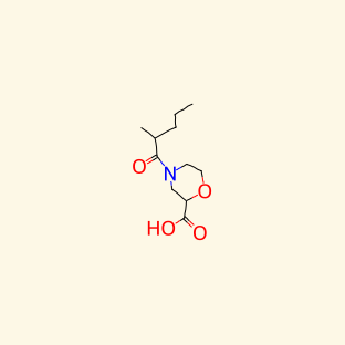 CCCC(C)C(=O)N1CCOC(C(=O)O)C1